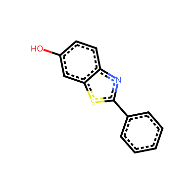 Oc1ccc2nc(-c3ccccc3)sc2c1